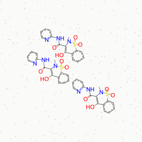 CN1C(C(=O)Nc2ccccn2)=C(O)c2ccccc2S1(=O)=O.CN1C(C(=O)Nc2ccccn2)=C(O)c2ccccc2S1(=O)=O.CN1C(C(=O)Nc2ccccn2)=C(O)c2ccccc2S1(=O)=O